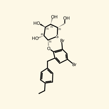 CCc1ccc(Cc2cc(Br)cc(Br)c2O[C@H]2S[C@@H](CO)[C@@H](O)[C@H](O)[C@H]2O)cc1